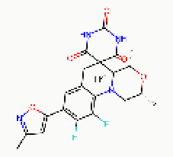 Cc1cc(-c2cc3c(c(F)c2F)N2C[C@@H](C)O[C@@H](C)[C@@H]2C2(C3)C(=O)NC(=O)NC2=O)on1